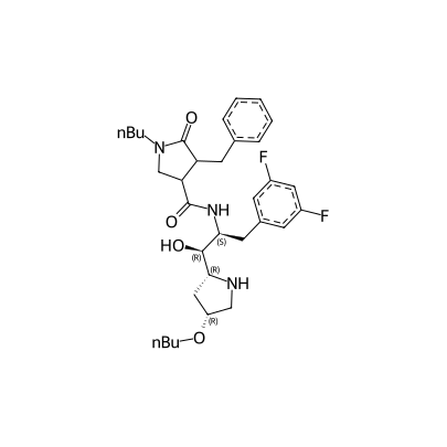 CCCCO[C@H]1CN[C@@H]([C@@H](O)[C@H](Cc2cc(F)cc(F)c2)NC(=O)C2CN(CCCC)C(=O)C2Cc2ccccc2)C1